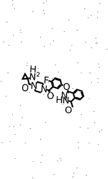 NC1(C(=O)N2CCN(C(=O)c3cc(OC4=NNC(C=O)c5ccccc54)ccc3F)CC2)CC1